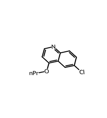 [CH2]CCOc1ccnc2ccc(Cl)cc12